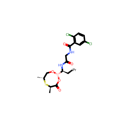 CC(C)C[C@H](NC(=O)CNC(=O)c1cc(Cl)ccc1Cl)B1OC[C@@H](C)S[C@H](C)C(=O)O1